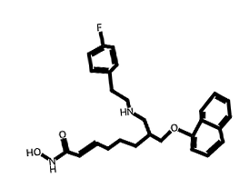 O=C(C=CCCCC(CNCCc1ccc(F)cc1)COc1cccc2ccccc12)NO